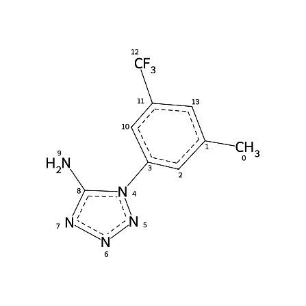 Cc1cc(-n2nnnc2N)cc(C(F)(F)F)c1